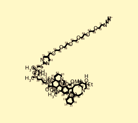 CC[C@]1(O)C[C@H]2CN(CCc3c([nH]c4ccccc34)[C@@](C(=O)OC)(c3cc4c(cc3OC)N(C)[C@H]3[C@@](O)(C(=O)NCCC[Si](C)(C)O[Si](C)(C)CSc5ncc(COCCOCCOCCOCCOCCOCCN=[N+]=[N-])cn5)[C@H](O)[C@]5(CC)C=CCN6CC[C@]43[C@@H]65)C2)C1